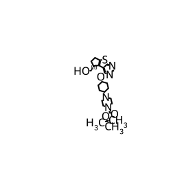 CC(C)(C)OC(=O)N1CCN([C@H]2CC[C@H](Oc3ncnc4sc5c(c34)[C@@H](CO)CC5)CC2)CC1